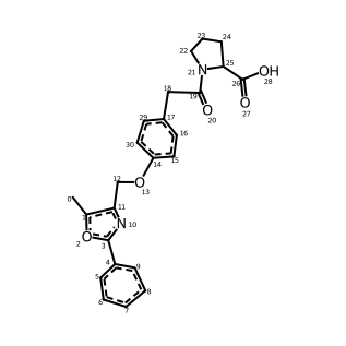 Cc1oc(-c2ccccc2)nc1COc1ccc(CC(=O)N2CCCC2C(=O)O)cc1